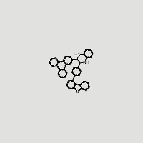 c1ccc2c(c1)NC(c1ccc(-c3cccc4oc5ccccc5c34)cc1)C(c1ccc3c4ccccc4c4ccccc4c3c1)N2